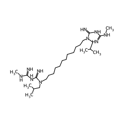 CNC(=N)NC(=N)N(CCCCCCCCCCCCN(CC(C)C)C(=N)NC(=N)NC)CC(C)C